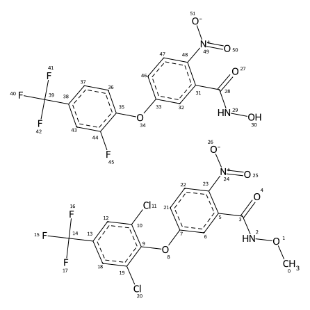 CONC(=O)c1cc(Oc2c(Cl)cc(C(F)(F)F)cc2Cl)ccc1[N+](=O)[O-].O=C(NO)c1cc(Oc2ccc(C(F)(F)F)cc2F)ccc1[N+](=O)[O-]